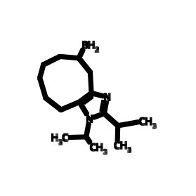 BC1CCCCCc2c(nc(C(C)C)n2C(C)C)C1